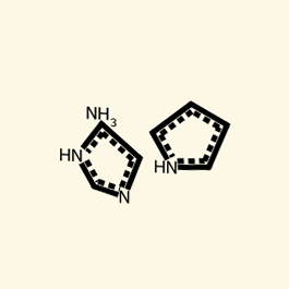 N.c1c[nH]cn1.c1cc[nH]c1